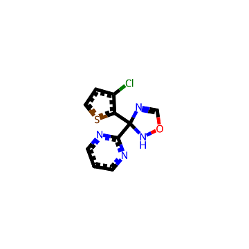 Clc1ccsc1C1(c2ncccn2)N=CON1